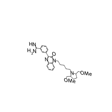 COCC1CCC(COC)N1CCCCCn1c(=O)c(-c2cccc(C(=N)N)c2)nc2ccccc21